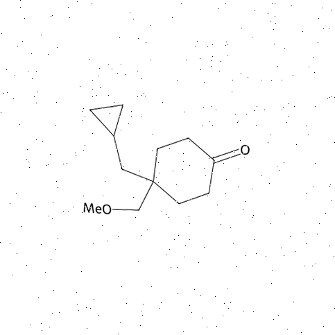 COCC1(CC2CC2)CCC(=O)CC1